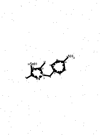 Cc1nn(Cc2ccc(N)cc2)c(C)[c]1[SnH]